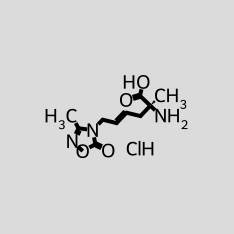 Cc1noc(=O)n1C/C=C/C[C@](C)(N)C(=O)O.Cl